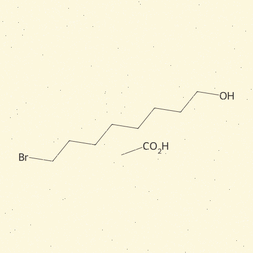 CC(=O)O.OCCCCCCCCBr